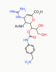 CC(=O)NC1C(NC(=N)N)C=C(C(=O)O)OC1C(OC(=O)Nc1ccc(CN)cc1)C(O)CO